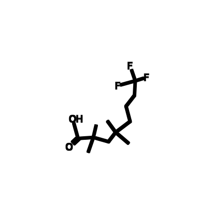 CC(C)(CCCC(F)(F)F)CC(C)(C)C(=O)O